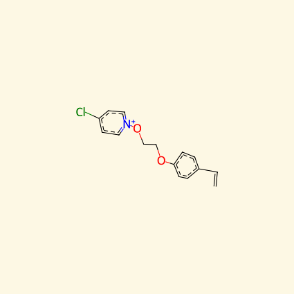 C=Cc1ccc(OCCO[n+]2ccc(Cl)cc2)cc1